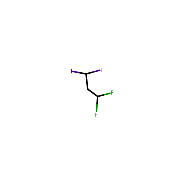 FC(F)CC(I)I